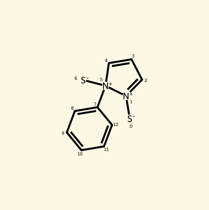 [S-][N+]1=CC=C[N+]1([S-])c1ccccc1